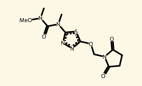 CON(C)C(=O)N(C)c1nnc(OCN2C(=O)CCC2=O)s1